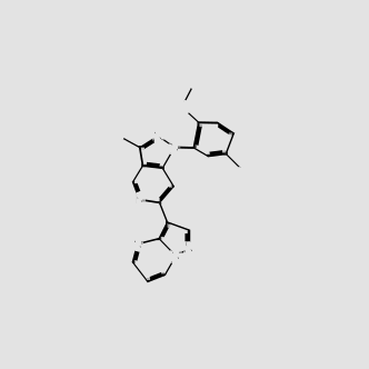 COc1ccc(F)cc1-n1nc(C)c2cnc(-c3cnn4cccnc34)cc21